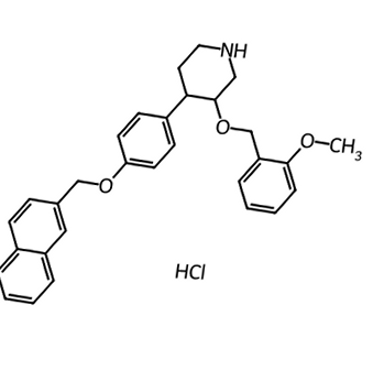 COc1ccccc1COC1CNCCC1c1ccc(OCc2ccc3ccccc3c2)cc1.Cl